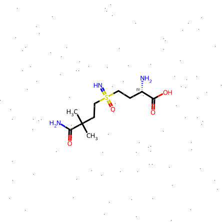 CC(C)(CCS(=N)(=O)CC[C@H](N)C(=O)O)C(N)=O